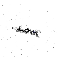 C=NN(/C=C(\C)C(C)C)CC1CCN(CCCC(=O)C(C)C)CC1